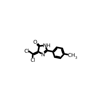 Cc1ccc(C2=NC(=C(Cl)Cl)C(=O)N2)cc1